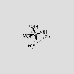 O[Si](O)(O)O.S.[Zn]